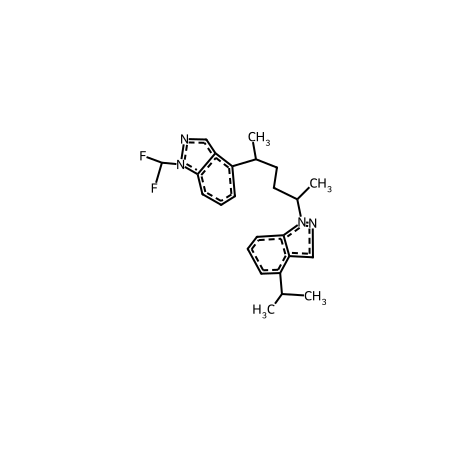 CC(C)c1cccc2c1cnn2C(C)CCC(C)c1cccc2c1cnn2C(F)F